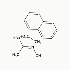 CC(=O)O.CCCCC(C)=NO.c1ccc2ccccc2c1